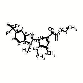 CCONC(=O)c1cc(C)c(SC)c(-c2nc3cc(C(F)(F)F)ccc3n2C)n1